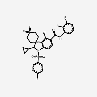 O=C(Nc1cccc(F)c1F)c1ccc2c(c1Cl)C1(CCS(=O)(=O)CC1)C(C1CC1)N2S(=O)(=O)c1ccc(F)cc1